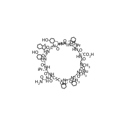 CCCC[C@H]1C(=O)N(C)CC(=O)N[C@@H](CC(=O)O)C(=O)N[C@@H](C(C)C)C(=O)N(C)[C@@H](Cc2ccccc2)C(=O)N[C@H]2Cc3ccc(O)cc3N(CC(=O)N[C@@H](Cc3csc4ccccc34)C(=O)NC(Cc3ccc(O)cc3)C(=O)N[C@@H](CC(C)C)C(=O)N[C@H](C(=O)NCC(N)=O)CSCC(=O)N[C@@H](Cc3ccccc3)C(=O)N(C)[C@@H](Cc3ccccc3)C(=O)N1C)C2=O